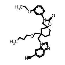 CCCCOC[C@]1(Cn2cnc3ccc(C#N)cc32)CCC[C@@]2(CN(c3cccc(OCC)c3)C(=O)O2)C1